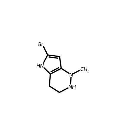 CN1NCCc2[nH]c(Br)cc21